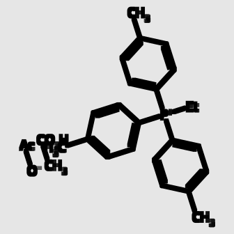 CC(=O)O.CC(=O)[O-].CC[P+](c1ccc(C)cc1)(c1ccc(C)cc1)c1ccc(C)cc1